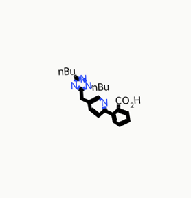 CCCCc1nc(Cc2ccc(-c3ccccc3C(=O)O)nc2)n(CCCC)n1